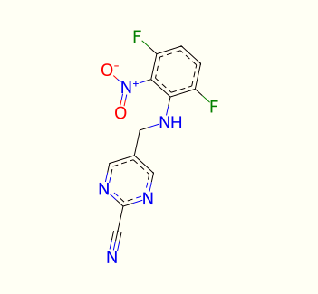 N#Cc1ncc(CNc2c(F)ccc(F)c2[N+](=O)[O-])cn1